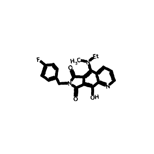 CCN(C)c1c2c(c(O)c3ncccc13)C(=O)N(Cc1ccc(F)cc1)C2=O